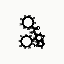 O=C(Nc1cnc2cc[nH]c2c1C1CCCCCCCC1)C1CCCCCCCC1